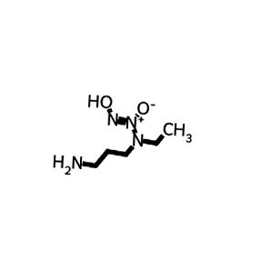 CCN(CCCN)[N+]([O-])=NO